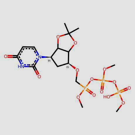 COP(=O)(O)OP(=O)(OC)OP(=O)(CO[C@H]1C[C@@H](n2ccc(=O)[nH]c2=O)C2OC(C)(C)OC21)OC